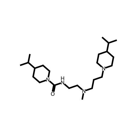 CC(C)C1CCN(CCCN(C)CCNC(=O)N2CCC(C(C)C)CC2)CC1